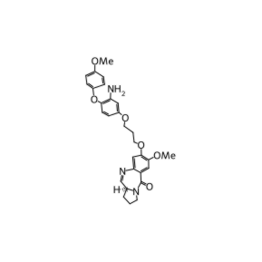 COc1ccc(Oc2ccc(OCCCOc3cc4c(cc3OC)C(=O)N3CCC[C@H]3C=N4)cc2N)cc1